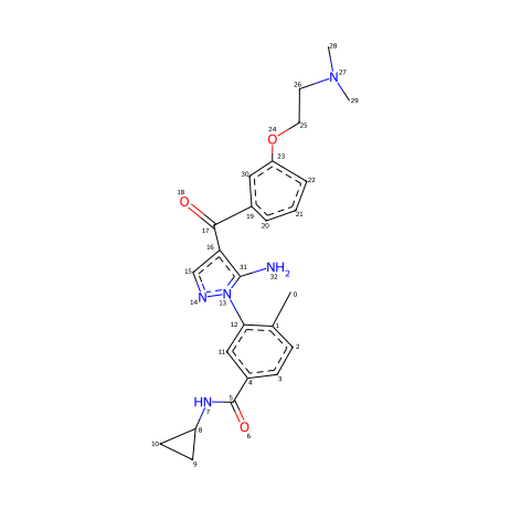 Cc1ccc(C(=O)NC2CC2)cc1-n1ncc(C(=O)c2cccc(OCCN(C)C)c2)c1N